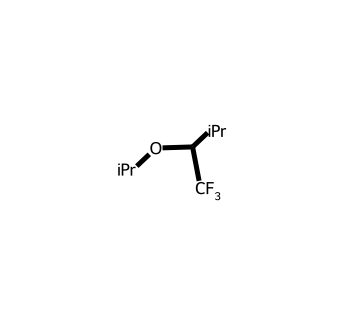 CC(C)OC(C(C)C)C(F)(F)F